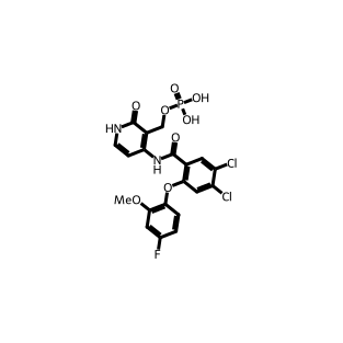 COc1cc(F)ccc1Oc1cc(Cl)c(Cl)cc1C(=O)Nc1cc[nH]c(=O)c1COP(=O)(O)O